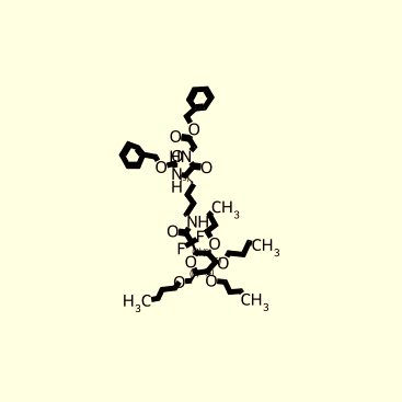 CCCCOC[C@H]1O[C@@H](C(F)(F)C(=O)NCCCC[C@H](NC(=O)OCc2ccccc2)C(=O)NCC(=O)OCc2ccccc2)[C@H](OCCCC)[C@@H](OCCCC)[C@H]1OCCCC